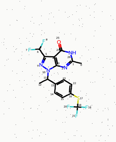 Cc1nc2c(c(C(F)F)nn2C(C)c2ccc(SC(F)(F)F)cc2)c(=O)[nH]1